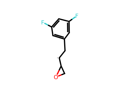 Fc1cc(F)cc(C[CH]C2CO2)c1